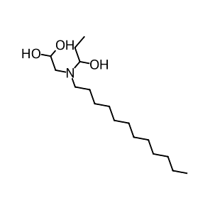 CCCCCCCCCCCCN(CC(O)O)C(O)CC